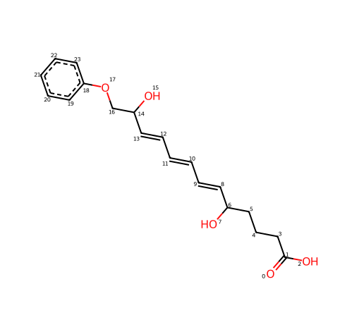 O=C(O)CCCC(O)C=CC=CC=CC(O)COc1ccccc1